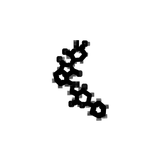 O=C1CCC(N2C(=O)c3cccc(N/C=C4\C(=O)CC(c5ccccc5)OC4=O)c3C2=O)C(=O)N1